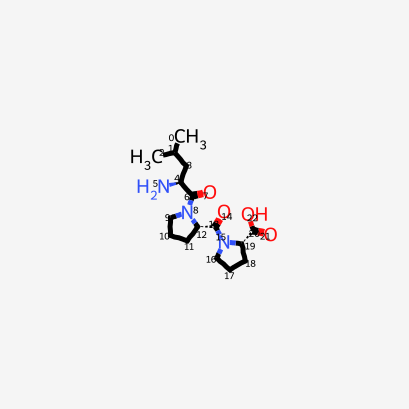 CC(C)C[C@H](N)C(=O)N1CCC[C@H]1C(=O)N1CCC[C@H]1C(=O)O